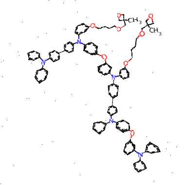 CC1(COCCCCOc2cccc(N(c3ccc(Oc4cccc(N(c5ccc(-c6ccc(N(c7ccccc7)c7ccc(Oc8cccc(N(c9ccccc9)c9ccccc9)c8)cc7)cc6)cc5)c5cccc(OCCCCOCC6(C)COC6)c5)c4)cc3)c3ccc(-c4ccc(N(c5ccccc5)c5ccccc5)cc4)cc3)c2)COC1